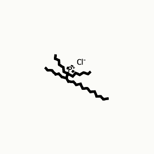 CCCCCCCCCCCCC(CCCCCC)C(CCCCCC)(CCCCCC)[P+](C)(C)C.[Cl-]